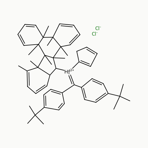 CC1=CC=CC2[CH]([Hf+2]([C]3=CC=CC3)=[C](c3ccc(C(C)(C)C)cc3)c3ccc(C(C)(C)C)cc3)C3(C)C4(C)C=CC=CC4(C)C4(C)C=CC=CC4(C)C3(C)C12C.[Cl-].[Cl-]